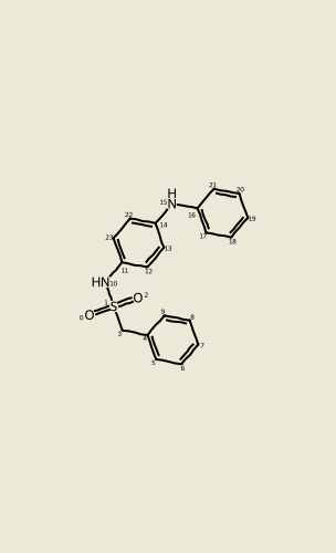 O=S(=O)(Cc1ccccc1)Nc1ccc(Nc2ccccc2)cc1